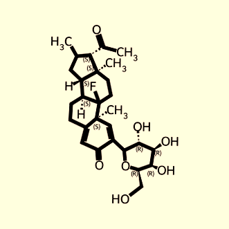 CC(=O)[C@H]1C(C)C[C@H]2[C@@H]3CCC4=CC(=O)C(C5O[C@H](CO)[C@H](O)[C@H](O)[C@H]5O)=C[C@]4(C)C3(F)CC[C@]12C